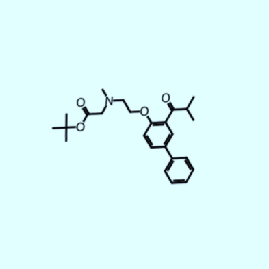 CC(C)C(=O)c1cc(-c2ccccc2)ccc1OCCN(C)CC(=O)OC(C)(C)C